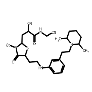 CCN1C(=O)C(CCNc2cccc(CCN3C(C)CCCC3C)c2)SC1CC(C#N)C(=O)NCC#N